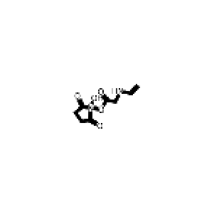 C=CNCC(=O)O[N+]1(O)C(=O)CCC1=O